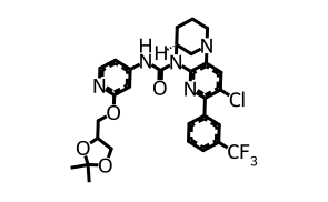 CC1(C)OCC(COc2cc(NC(=O)N3c4nc(-c5cccc(C(F)(F)F)c5)c(Cl)cc4N4CCC[C@H]3C4)ccn2)O1